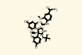 COc1cc(C(N)=O)ccc1NC(=O)[C@@H]1N[C@@H](CC(C)(C)C)[C@](C#N)(c2ccc(Cl)cc2F)[C@H]1c1ccc(Cl)cc1F